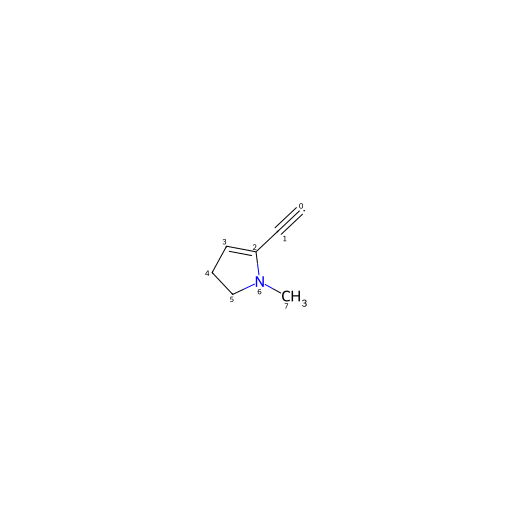 [C]#CC1=CCCN1C